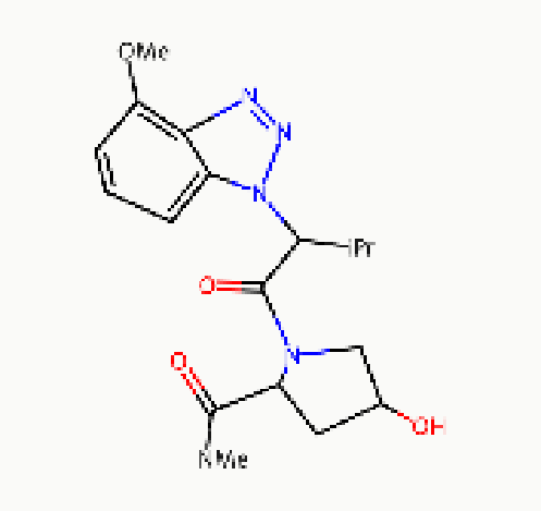 CNC(=O)C1CC(O)CN1C(=O)C(C(C)C)n1nnc2c(OC)cccc21